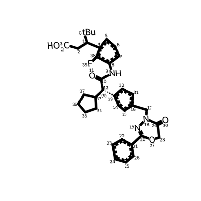 CC(C)(C)C(CC(=O)O)c1cccc(NC(=O)[C@H](c2ccc(CN3N=C(c4ccccc4)OCC3=O)cc2)C2CCCC2)c1F